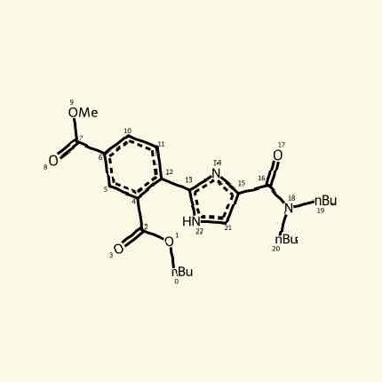 CCCCOC(=O)c1cc(C(=O)OC)ccc1-c1nc(C(=O)N(CCCC)CCCC)c[nH]1